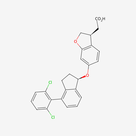 O=C(O)C[C@@H]1COc2cc(O[C@@H]3CCc4c(-c5c(Cl)cccc5Cl)cccc43)ccc21